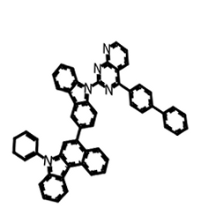 C1=CC(n2c3ccccc3c3c4ccccc4c(-c4ccc5c(c4)c4ccccc4n5-c4nc(-c5ccc(-c6ccccc6)cc5)c5cccnc5n4)cc32)=CCC1